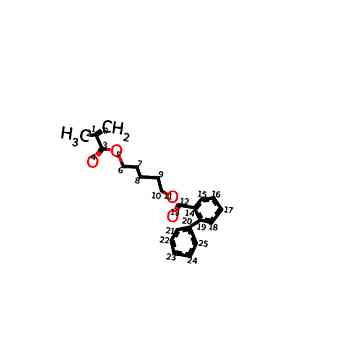 C=C(C)C(=O)OCCCCCOC(=O)c1ccccc1-c1ccccc1